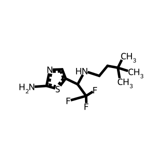 CC(C)(C)CCNC(c1cnc(N)s1)C(F)(F)F